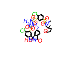 CN(CC1(C)CCCO1)S(=O)(=O)c1ccc(Cl)c(S(N)(=O)=O)c1.NS(=O)(=O)c1cc(C2(O)NC(=O)c3ccccc32)ccc1Cl